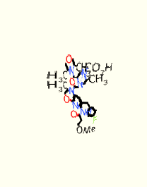 COCCC(=O)Nc1nc2c(cc1Cc1ccc(F)cc1)N(C(=O)CN1C[C@@H](C)N(C(=O)O)C[C@@H]1CN1[C@H](C)COC[C@H]1C)[C@@H](C)CO2